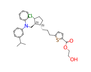 CC(C)c1cccc(N(C[C@H]2C(Cl)CC[C@@H]2CCCc2ccc(C(=O)OCCO)s2)c2ccccc2)c1